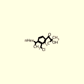 CCCCCCC(C)c1ccc(C(=O)C(C)(C)O)cc1CCl